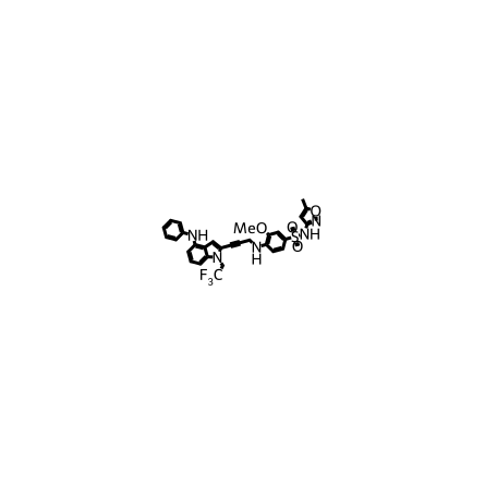 COc1cc(S(=O)(=O)Nc2cc(C)on2)ccc1NCC#Cc1cc2c(Nc3ccccc3)cccc2n1CC(F)(F)F